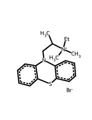 CC[N+](C)(C)C(C)CN1c2ccccc2Sc2ccccc21.[Br-]